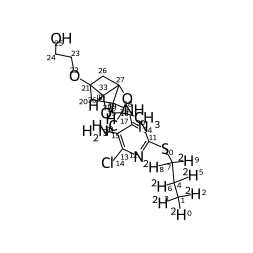 [2H]C([2H])([2H])C([2H])([2H])C([2H])([2H])Sc1nc(Cl)c(N)c(N[C@@H]2CC3(OCCO)CC24OC(C)(C)O[C@H]34)n1